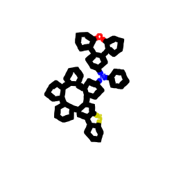 c1ccc(N(c2ccc3c(c2)-c2ccccc2Oc2ccccc2-3)c2ccc3c(c2)c2ccccc2c2ccccc2c2ccccc2c2cc4c(cc32)sc2ccccc24)cc1